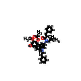 COc1c2c(c3c(c1OC(C)=O)[C@]14CCN(CCc5ccccc5)[C@H](C3)[C@@H]1CC[C@H](N(CC(C)C)C(=O)C=Cc1ccccc1)C4)O2